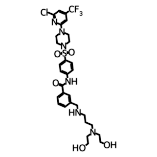 O=C(Nc1ccc(S(=O)(=O)N2CCN(c3cc(C(F)(F)F)cc(Cl)n3)CC2)cc1)c1cccc(CNCCCN(CCO)CCO)c1